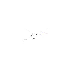 COc1cc(C(C)N[S@+]([O-])C(C)(C)C)ccc1OCC(F)F